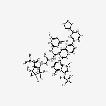 Cn1nc(NS(C)(=O)=O)c2c(Cl)ccc(N3Cc4ccc(-c5ccnc(C6CCCC6)n5)cc4N=C3[C@H](Cc3cc(F)cc(F)c3)NC(=O)Cn3nc(C(F)F)c4c3C(F)(F)[C@@H]3C[C@H]43)c21